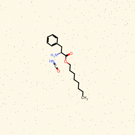 CCCCCCCCOC(=O)[C@@H](N)Cc1ccccc1.N=C=O